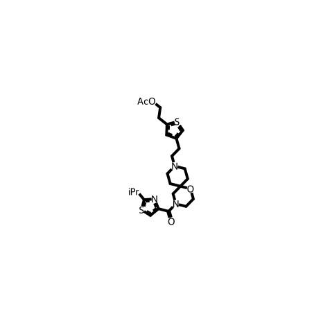 CC(=O)OCCc1cc(CCN2CCC3(CC2)CN(C(=O)c2csc(C(C)C)n2)CCO3)cs1